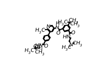 Cc1ncc(NC(=O)c2cc(C(=O)NCCN(C)C)cc(C(C)(C)C)c2)cc1-c1ccc(C(=O)NCC(C)(C)C)cc1